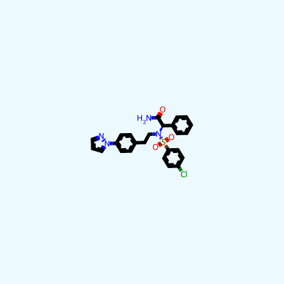 NC(=O)[C@@H](c1ccccc1)N(CCc1ccc(-n2cccn2)cc1)S(=O)(=O)c1ccc(Cl)cc1